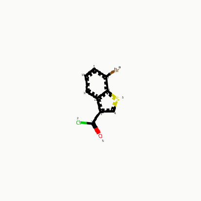 O=C(Cl)c1csc2c(Br)cccc12